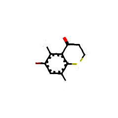 Cc1cc(Br)c(C)c2c1SCCC2=O